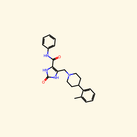 Cc1ccccc1C1CCN(Cc2[nH]c(=O)[nH]c2C(=O)Nc2ccccc2)CC1